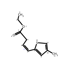 CCOC(=O)C/C=C\c1cc(C)cs1